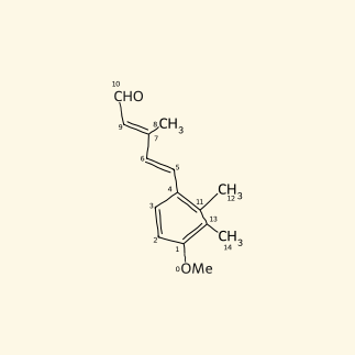 COc1ccc(/C=C/C(C)=C/C=O)c(C)c1C